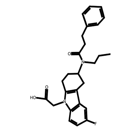 CCCN(C(=O)CCc1ccccc1)C1CCc2c(c3cc(F)ccc3n2CC(=O)O)C1